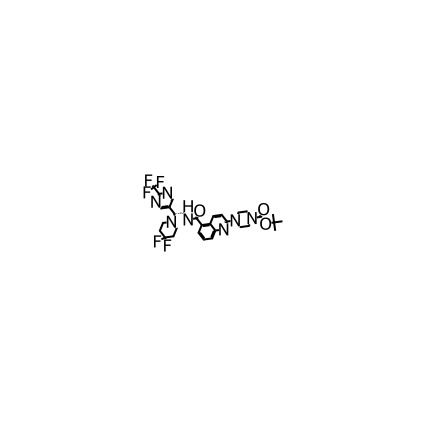 CC(C)(C)OC(=O)N1CCN(c2ccc3c(C(=O)NC[C@@H](c4cnc(C(F)(F)F)nc4)N4CCC(F)(F)CC4)cccc3n2)CC1